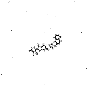 O=C1CCC(N2Cc3cc(O[C@H]4CCN(Cc5ccc6ncccc6c5)C4)cc(F)c3C2=O)C(=O)N1